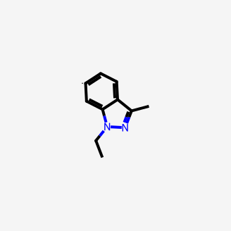 CCn1nc(C)c2cc[c]cc21